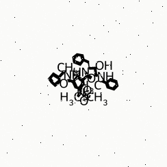 C[C@H](NC[C@@H](O)[C@H](Cc1ccccc1)NC(=O)c1cc(C(=O)N[C@H](C)c2ccccc2)cc(N(C)S(C)(=O)=O)c1)c1ccccc1